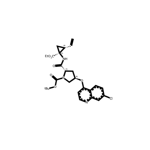 C=C[C@H]1C[C@@]1(NC(=O)[C@@H]1C[C@@H](Oc2ccnc3cc(Cl)ccc23)CN1C(=O)OC(C)(C)C)C(=O)OCC